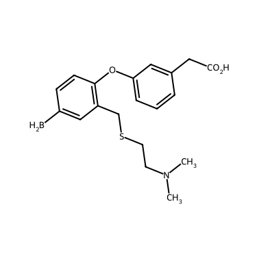 Bc1ccc(Oc2cccc(CC(=O)O)c2)c(CSCCN(C)C)c1